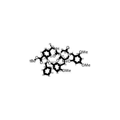 COc1cc(OC)c(CN2C[C@@H](Cc3cc(Cl)ccc3OC)C(=O)N(C(=O)N[C@H](C)c3ccc(C(=O)OC(C)(C)C)c(OCc4ccccc4)c3)CC2=O)c(OC)c1